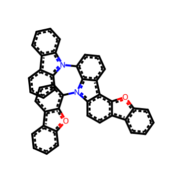 c1ccc2c(c1)oc1c(-n3c4ccc5c6ccccc6oc5c4c4cccc(-n5c6ccccc6c6ccccc65)c43)cccc12